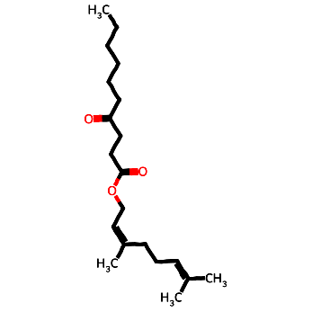 CCCCCCC(=O)CCC(=O)OCC=C(C)CCC=C(C)C